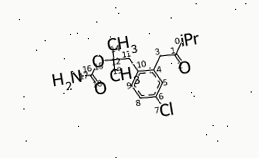 CC(C)C(=O)Cc1cc(Cl)ccc1CC(C)(C)OC(N)=O